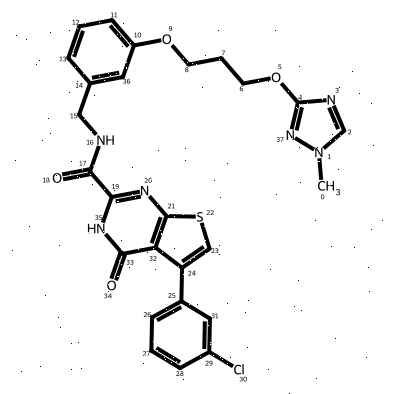 Cn1cnc(OCCCOc2cccc(CNC(=O)c3nc4scc(-c5cccc(Cl)c5)c4c(=O)[nH]3)c2)n1